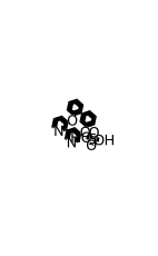 O=S(=O)(O)O.c1ccc(Oc2cccnc2)cc1.c1ccc(Oc2cccnc2)cc1